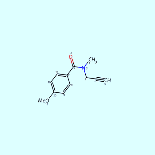 C#CCN(C)C(=O)c1ccc(OC)cc1